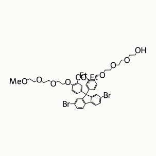 CCOC(=O)c1cc(C2(c3ccc(COCCOCCOCCO)c(CC)c3)c3cc(Br)ccc3-c3ccc(Br)cc32)ccc1OCCOCCOCCOC